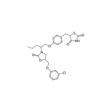 CCCC(COc1ccc(CC2SC(=O)NC2=O)cc1)N1CC(COc2cccc(Cl)c2)OC1=O